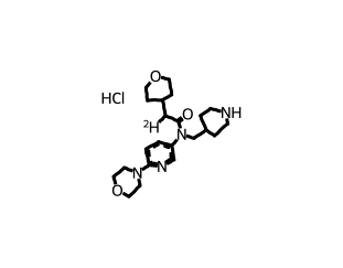 Cl.[2H]C(C(=O)N(CC1CCNCC1)c1ccc(N2CCOCC2)nc1)C1CCOCC1